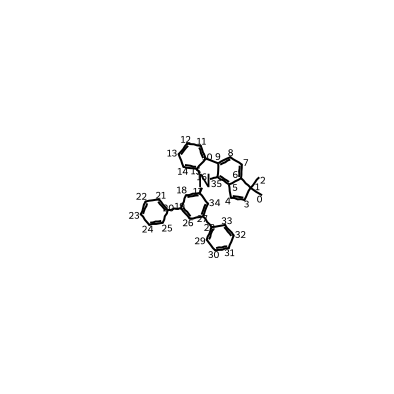 CC1(C)C=Cc2c1ccc1c3ccccc3n(-c3cc(-c4ccccc4)cc(-c4ccccc4)c3)c21